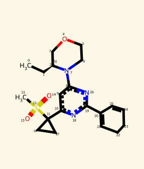 CC[C@H]1COCCN1c1cc(C2(S(C)(=O)=O)CC2)nc(C2=CC[CH]C=C2)n1